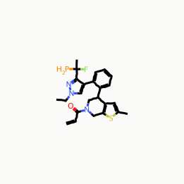 C=CC(=O)N1Cc2sc(C)cc2C(c2ccccc2-c2cn(CC)nc2C(C)(F)P)C1